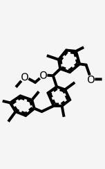 COCOC(c1cc(COC)c(C)cc1C)c1cc(Cc2cc(C)c(C)cc2C)c(C)cc1C